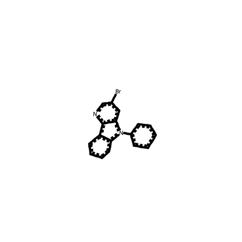 Brc1cnc2c3ccccc3n(-c3ccccc3)c2c1